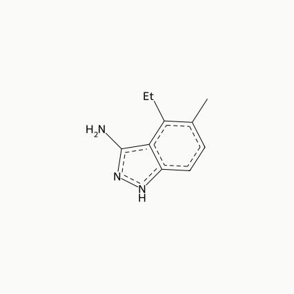 CCc1c(C)ccc2[nH]nc(N)c12